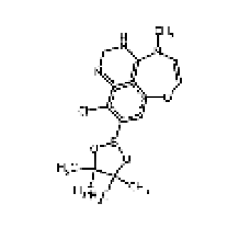 CN1C=COc2cc(B3OC(C)(C)C(C)(C)O3)c(Cl)c3c2=C1NCN=3